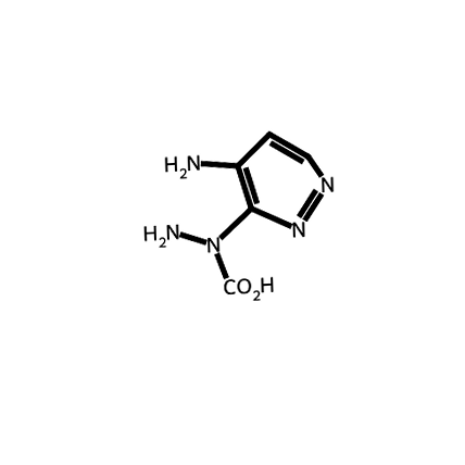 Nc1ccnnc1N(N)C(=O)O